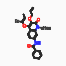 C=CCOc1c(OC(=CC)CC)c2ccc(NC(=O)c3ccccc3)cc2n(CCCCCC)c1=O